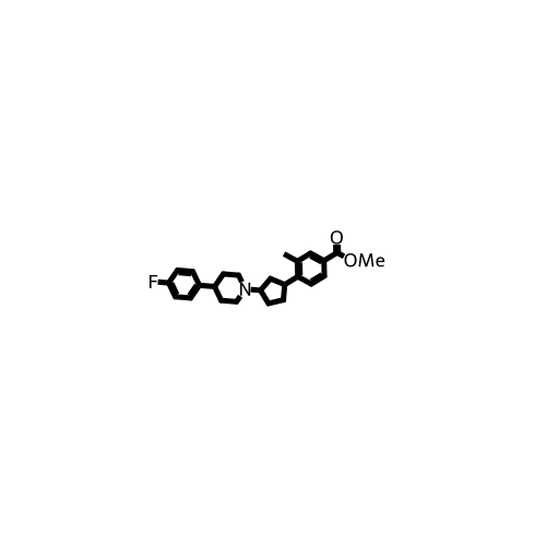 COC(=O)c1ccc(C2CCC(N3CCC(c4ccc(F)cc4)CC3)C2)c(C)c1